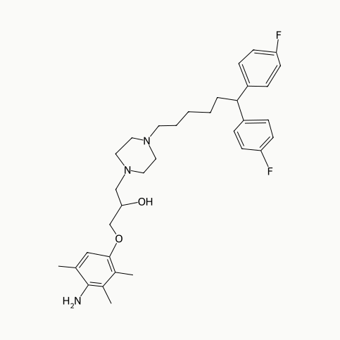 Cc1cc(OCC(O)CN2CCN(CCCCCC(c3ccc(F)cc3)c3ccc(F)cc3)CC2)c(C)c(C)c1N